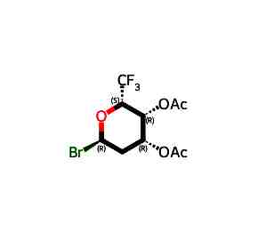 CC(=O)O[C@@H]1[C@H](OC(C)=O)C[C@@H](Br)O[C@@H]1C(F)(F)F